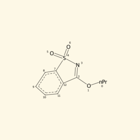 CCCOC1=NS(=O)(=O)c2ccccc21